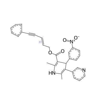 CC1=C(C(=O)OC/C=C/C#Cc2ccccc2)C(c2cccc([N+](=O)[O-])c2)C(c2cccnc2)=C(C)N1